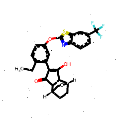 CCc1ccc(Oc2nc3ccc(C(F)(F)F)cc3s2)cc1C1=C(O)C2C(C1=O)[C@H]1CC[C@@H]2CC1